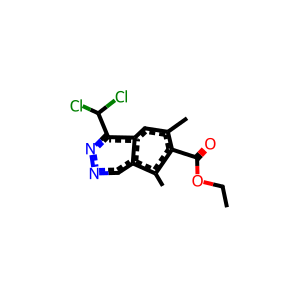 CCOC(=O)c1c(C)cc2c(C(Cl)Cl)nncc2c1C